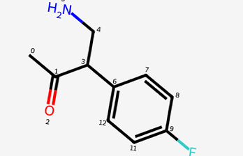 CC(=O)C(CN)c1ccc(F)cc1